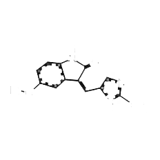 CCOc1ccc2c(c1)C(=Cc1cnc(C)[nH]1)C(=O)N2